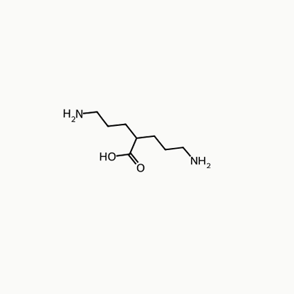 NCCCC(CCCN)C(=O)O